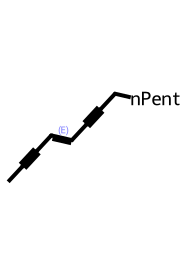 CC#C/C=C/C#CCCCCCC